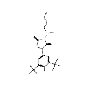 C=C1SC(c2cc(C(C)(C)C)c(O)c(C(C)(C)C)c2)C(=O)N1N(C)CCCC